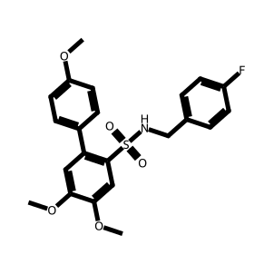 COc1ccc(-c2cc(OC)c(OC)cc2S(=O)(=O)NCc2ccc(F)cc2)cc1